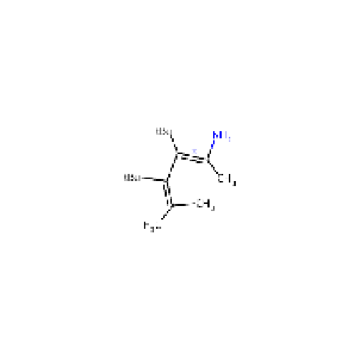 CC(C)=C(/C(=C(\C)N)C(C)(C)C)C(C)(C)C